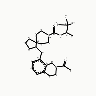 CC(=O)N1CCc2cccc(CN3CCCC34CCN(C(=O)OC(C)C(F)(F)F)CC4)c2C1